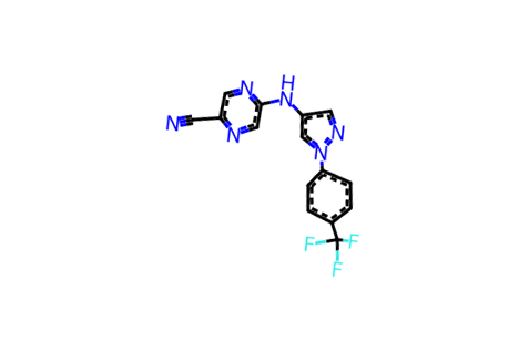 N#Cc1cnc(Nc2cnn(-c3ccc(C(F)(F)F)cc3)c2)cn1